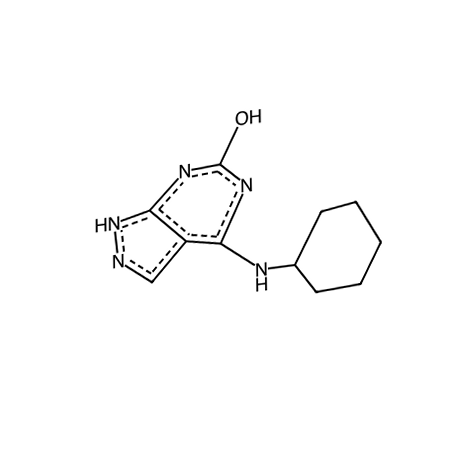 Oc1nc(NC2CCCCC2)c2cn[nH]c2n1